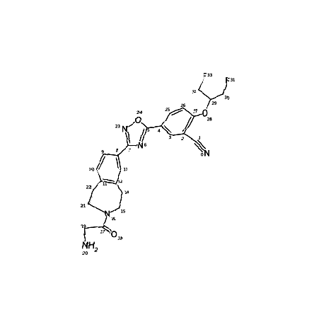 N#Cc1cc(-c2nc(-c3ccc4c(c3)CCN(C(=O)CN)CC4)no2)ccc1OC(CF)CF